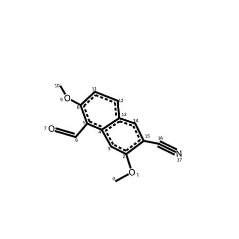 COc1cc2c(C=O)c(OC)ccc2cc1C#N